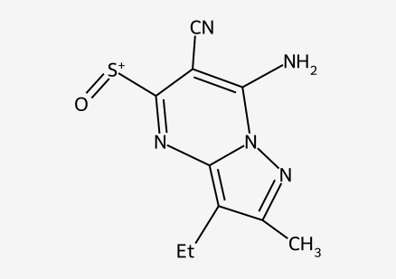 CCc1c(C)nn2c(N)c(C#N)c([S+]=O)nc12